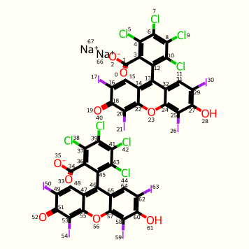 O=C([O-])c1c(Cl)c(Cl)c(Cl)c(Cl)c1-c1c2cc(I)c(=O)c(I)c-2oc2c(I)c(O)c(I)cc12.O=C([O-])c1c(Cl)c(Cl)c(Cl)c(Cl)c1-c1c2cc(I)c(=O)c(I)c-2oc2c(I)c(O)c(I)cc12.[Na+].[Na+]